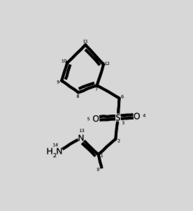 CC(CS(=O)(=O)Cc1ccccc1)=NN